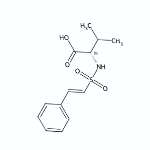 CC(C)[C@H](NS(=O)(=O)C=Cc1ccccc1)C(=O)O